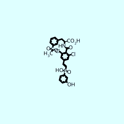 CS(=O)(=O)c1cccc(C[C@H](NC(=O)c2c(Cl)cc(/C=C/P(=O)(O)c3cccc(O)c3)cc2Cl)C(=O)O)c1